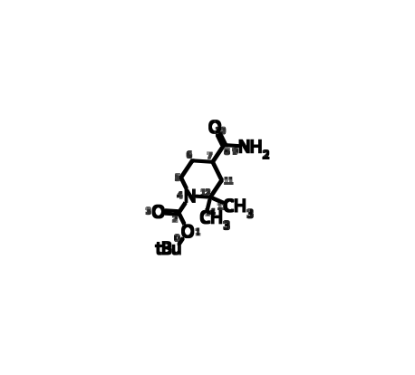 CC(C)(C)OC(=O)N1CCC(C(N)=O)CC1(C)C